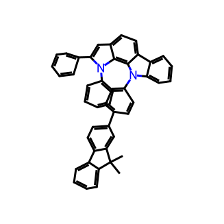 CC1(C)c2ccccc2-c2ccc(-c3ccc(-n4c5ccccc5c5ccc6cc(-c7ccccc7)n(-c7ccccc7)c6c54)cc3)cc21